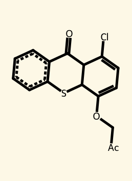 CC(=O)COC1=CC=C(Cl)C2C(=O)c3ccccc3SC12